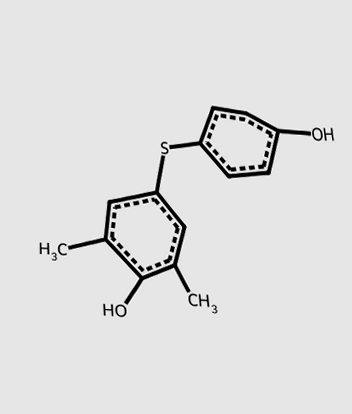 Cc1cc(Sc2ccc(O)cc2)cc(C)c1O